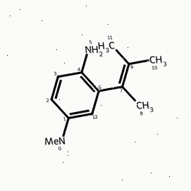 CNc1ccc(N)c(C(C)=C(C)C)c1